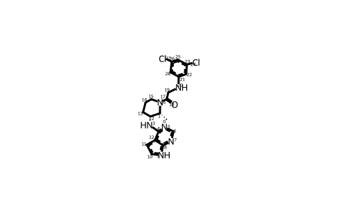 C[C@@H]1[C@H](Nc2ncnc3[nH]ccc23)CCCN1C(=O)CNc1cc(Cl)cc(Cl)c1